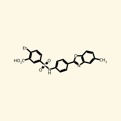 CCc1ccc(S(=O)(=O)Nc2ccc(-c3nc4cc(C)ccc4o3)cc2)cc1C(=O)O